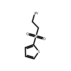 CC(C)CCS(=O)(=O)c1cccs1